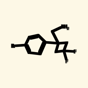 NCC1(c2ccc(Br)cc2)CC(F)(F)C1